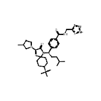 CC(C)CC[C@H](c1ccc(C(=O)NCc2nn[nH]n2)cc1)N1C(=O)C(N2CCC(C)C2)=NC12CCC(C(C)(C)C)CC2